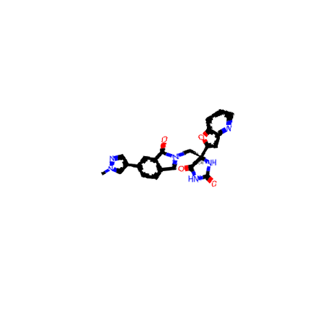 Cn1cc(-c2ccc3c(c2)C(=O)N(C[C@@]2(c4cc5ncccc5o4)NC(=O)NC2=O)C3)cn1